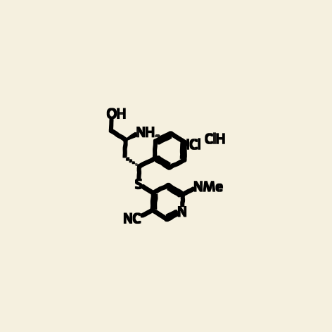 CNc1cc(S[C@H](C[C@H](N)CO)c2ccccc2)c(C#N)cn1.Cl.Cl